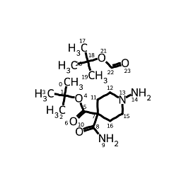 CC(C)(C)OC(=O)C1(C(N)=O)CCN(N)CC1.CC(C)(C)OC=O